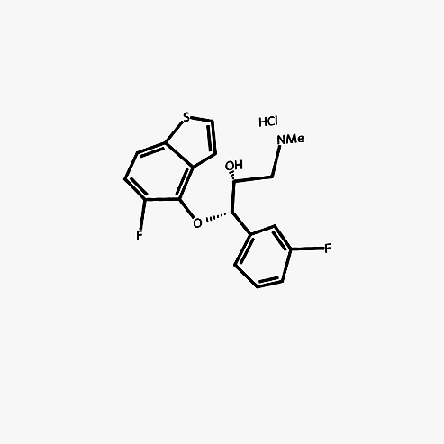 CNC[C@@H](O)[C@@H](Oc1c(F)ccc2sccc12)c1cccc(F)c1.Cl